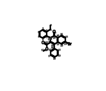 CCc1ccccc1-n1c(C(=O)OC)c(-c2ccccc2)c2cc(Br)ccc2c1=O